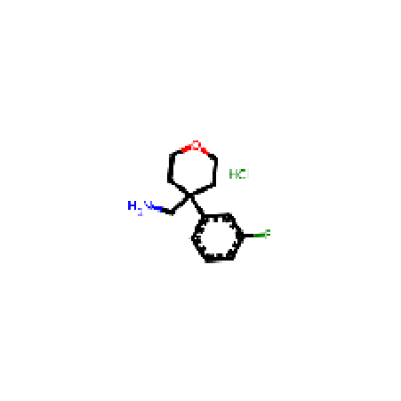 Cl.NCC1(c2cccc(F)c2)CCOCC1